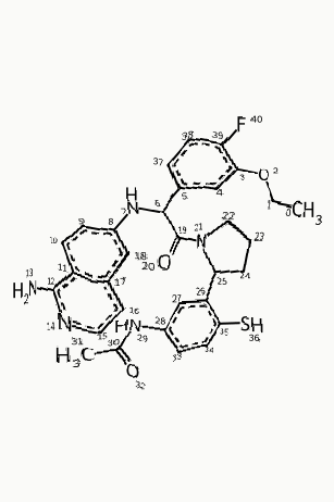 CCOc1cc(C(Nc2ccc3c(N)nccc3c2)C(=O)N2CCCC2c2cc(NC(C)=O)ccc2S)ccc1F